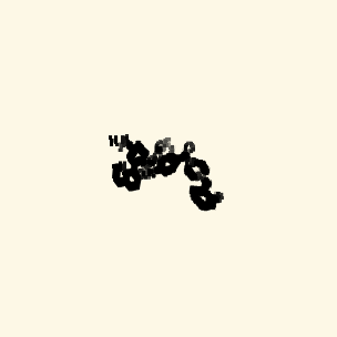 Nc1ccc(S(=O)(=O)Nc2ccc(C(=O)N3CCN(Cc4ccccc4F)CC3)cc2OC(F)(F)F)c(-c2cccc3cccnc23)c1